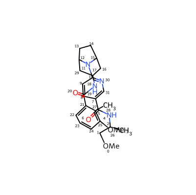 COC[C@H](C)NC(=O)c1ccc(N2C3CCC2CC(NC(=O)c2cccc(OC)c2C)C3)nc1